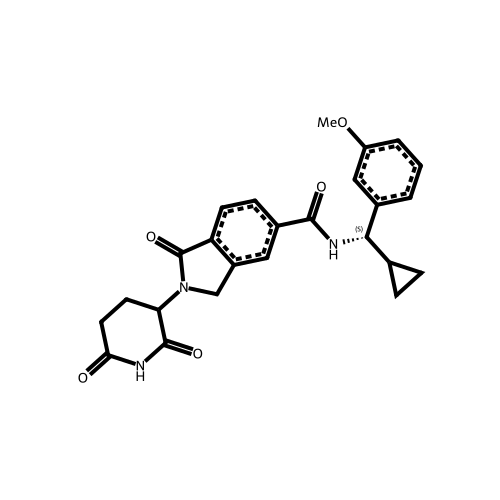 COc1cccc([C@@H](NC(=O)c2ccc3c(c2)CN(C2CCC(=O)NC2=O)C3=O)C2CC2)c1